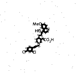 COc1ccc2nccc(C(O)CC[C@@H]3CCN(CC#Cc4ccc(Cl)cc4Cl)C[C@@H]3CC(=O)O)c2c1